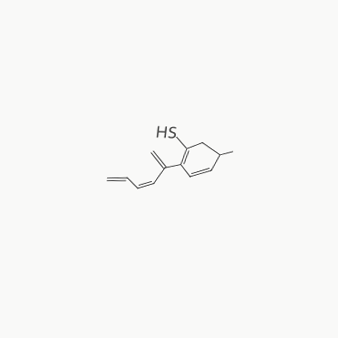 C=C/C=C\C(=C)C1=C(S)CC(C)C=C1